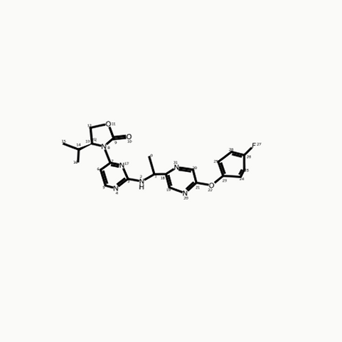 CC(Nc1nccc(N2C(=O)OC[C@@H]2C(C)C)n1)c1cnc(Oc2ccc(F)cc2)cn1